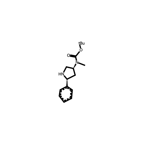 CN(C(=O)OC(C)(C)C)[C@@H]1CN[C@H](c2ccccc2)C1